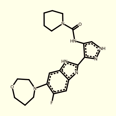 O=C(Nc1c[nH]nc1-c1nc2cc(F)c(N3CCCOCC3)cc2[nH]1)N1CCCCC1